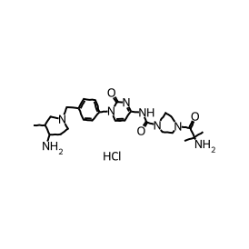 CC1CN(Cc2ccc(-n3ccc(NC(=O)N4CCN(C(=O)C(C)(C)N)CC4)nc3=O)cc2)CCC1N.Cl